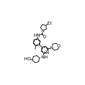 CCC1CCN(C(=O)Nc2ccc(C)c(-c3cc(N[C@H]4CC[C@](C)(O)CC4)nc(N4CCOCC4)c3)c2)C1